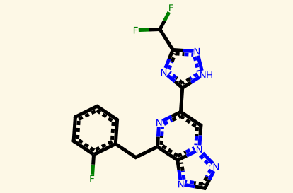 Fc1ccccc1Cc1nc(-c2nc(C(F)F)n[nH]2)cn2ncnc12